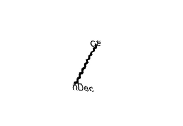 CCCCCCCCCCCCCCCCCCCCCCCCCCCC[CH][Ge]([CH3])([CH3])[CH3]